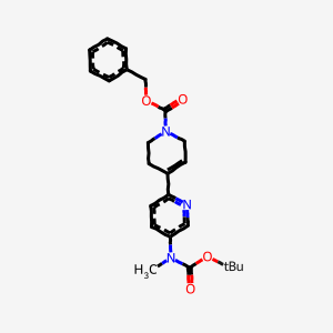 CN(C(=O)OC(C)(C)C)c1ccc(C2=CCN(C(=O)OCc3ccccc3)CC2)nc1